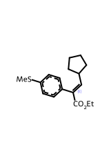 CCOC(=O)/C(=C/C1CCCC1)c1ccc(SC)cc1